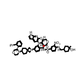 CC(C)c1ccccc1[C@@H]1COCCN1C1CCC2(CC1)CN(c1ccc(C(=O)NS(=O)(=O)c3ccc(NCC4CCC(C)(O)CC4)c([N+](=O)[O-])c3)c(N3c4cc5cc[nH]c5nc4O[C@H]4COCC[C@@H]43)c1)C2